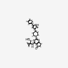 [O-][S+]1CCc2nc(N3CCC(c4cc(-c5cccs5)[nH]n4)CC3)nc(NC3(CO)CC3)c21